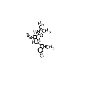 CC(C)NC(=O)c1cn(SF)c2ncc(-c3cn(C)c4cc(Cl)ccc34)nc12